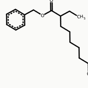 CCCCCCCC(CC)C(=O)OCc1ccccc1